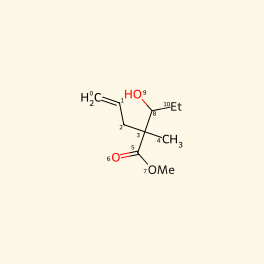 C=CCC(C)(C(=O)OC)C(O)CC